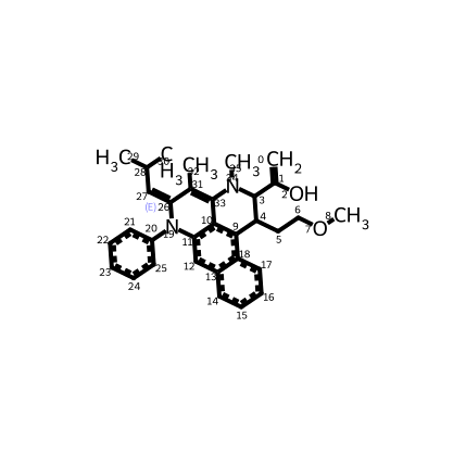 C=C(O)C1C(CCOC)c2c3c(cc4ccccc24)N(c2ccccc2)/C(=C/C(C)C)C(C)=C3N1C